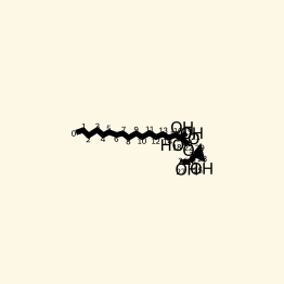 CCCCCCCCCCCCCCCC(O)C(O)(O)C(=O)OC1(C(O)CO)CC1